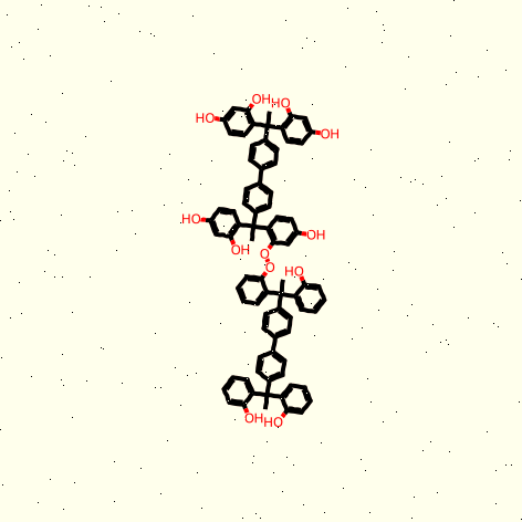 CC(c1ccc(-c2ccc(C(C)(c3ccccc3O)c3ccccc3OOc3cc(O)ccc3C(C)(c3ccc(-c4ccc(C(C)(c5ccc(O)cc5O)c5ccc(O)cc5O)cc4)cc3)c3ccc(O)cc3O)cc2)cc1)(c1ccccc1O)c1ccccc1O